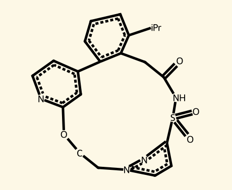 CC(C)c1cccc2c1CC(=O)NS(=O)(=O)c1ccn(n1)CCOc1cc-2ccn1